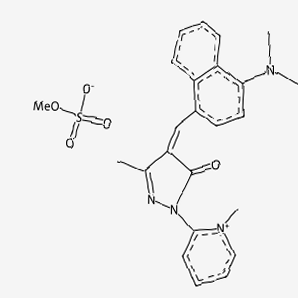 CC1=NN(c2cccc[n+]2C)C(=O)C1=Cc1ccc(N(C)C)c2ccccc12.COS(=O)(=O)[O-]